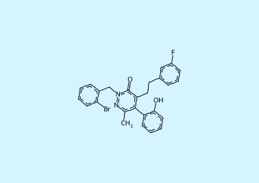 Cc1nn(Cc2ccccc2Br)c(=O)c(CCc2cccc(F)c2)c1-c1ccccc1O